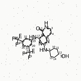 O=c1[nH]ccc2nc(N[C@H]3CC[C@H](O)CC3)nc(Nc3cc(C(F)(F)F)cc(C(F)(F)F)c3)c12